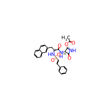 CC(=O)O[C@@H]1NC(=O)[C@H]1NC(=O)[C@H](Cc1ccc2ccccc2c1)NS(=O)(=O)C=Cc1ccccc1